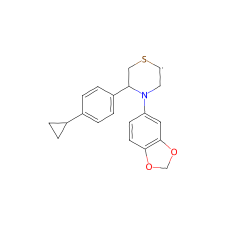 [CH]1CN(c2ccc3c(c2)OCO3)C(c2ccc(C3CC3)cc2)CS1